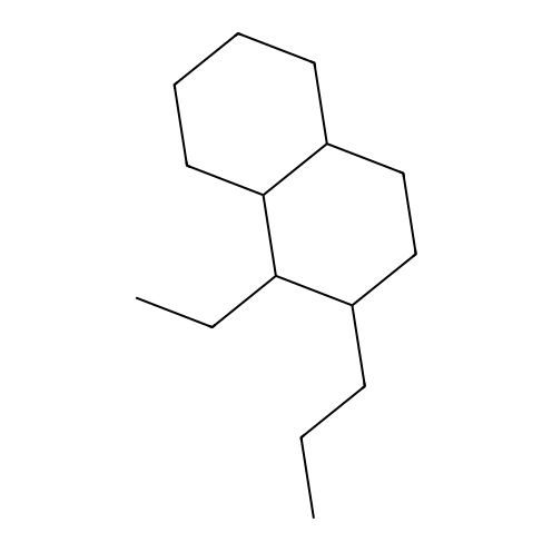 CCCC1CCC2CCCCC2C1CC